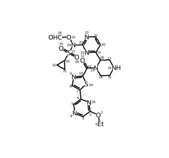 CCOc1cncc(-c2cnc(C(=O)N3CCNCC3c3ccnc(N(OC=O)S(=O)(=O)C4CC4)n3)s2)n1